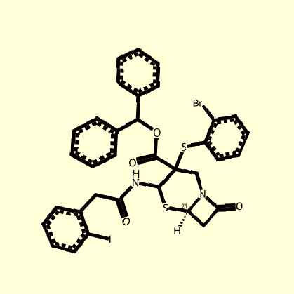 O=C(Cc1ccccc1I)NC1S[C@@H]2CC(=O)N2CC1(Sc1ccccc1Br)C(=O)OC(c1ccccc1)c1ccccc1